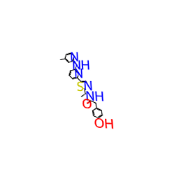 Cc1ccnc(Nc2cccc(-c3cnc([C@H](C)NC(=O)Cc4ccc(O)cc4)s3)n2)c1